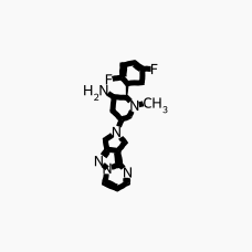 CN1CC(N2Cc3nn4cccnc4c3C2)CC(N)[C@H]1C1CC(F)=CC=C1F